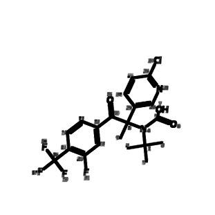 CC(C)(C)N(C(=O)O)C(C)(C(=O)c1ccc(C(F)(F)F)c(F)c1)c1ccc(Cl)nc1